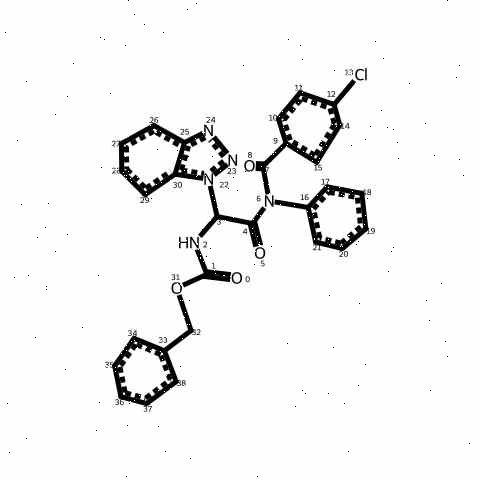 O=C(NC(C(=O)N(C(=O)c1ccc(Cl)cc1)c1ccccc1)n1nnc2ccccc21)OCc1ccccc1